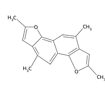 Cc1cc2c(C)cc3c(cc(C)c4cc(C)oc43)c2o1